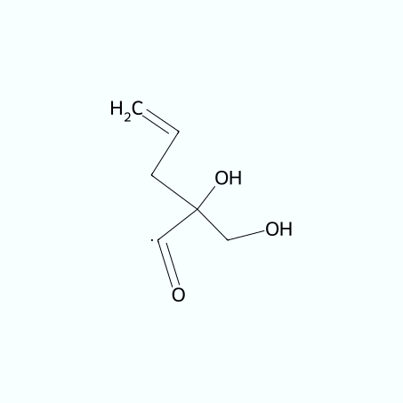 C=CCC(O)([C]=O)CO